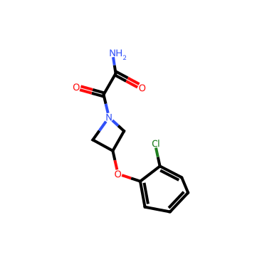 NC(=O)C(=O)N1CC(Oc2ccccc2Cl)C1